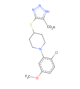 O=C(O)c1[nH]nnc1SC1CCN(c2cc(OC(F)(F)F)ccc2Cl)CC1